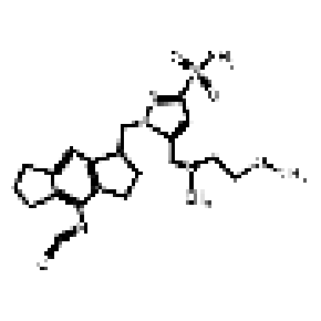 COCCN(C)Cc1cc(S(N)(=O)=O)nn1CC1CCc2c1cc1c(c2N=C=O)CCC1